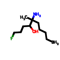 BCCCCC(C)(N)C(O)CCCF